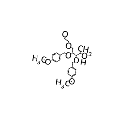 COc1ccc(CO[C@@H]([C@H](C)O)[C@H](COCC=O)OCc2ccc(OC)cc2)cc1